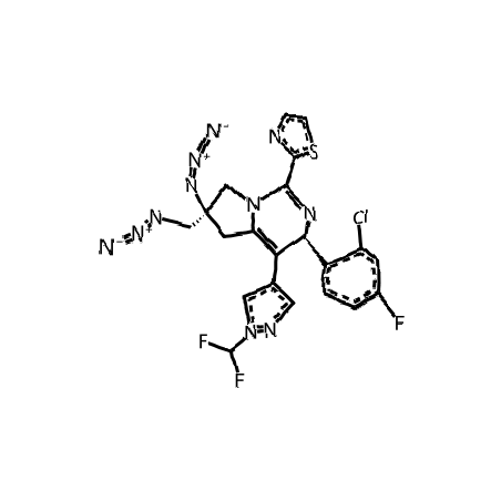 [N-]=[N+]=NC[C@@]1(N=[N+]=[N-])CC2=C(c3cnn(C(F)F)c3)[C@H](c3ccc(F)cc3Cl)N=C(c3nccs3)N2C1